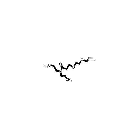 CCCN(CCC)C(=O)CCOCCOCN